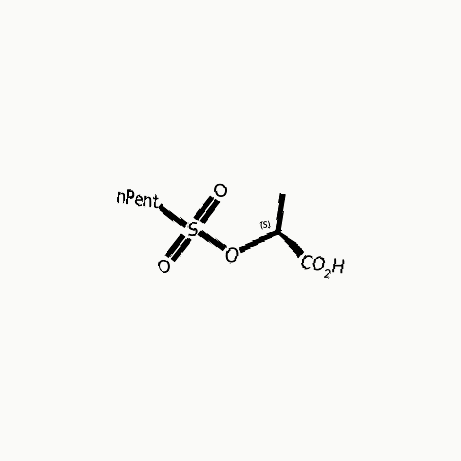 CCCCCS(=O)(=O)O[C@@H](C)C(=O)O